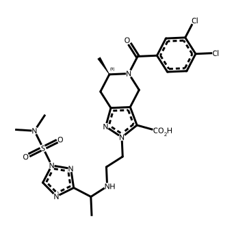 CC(NCCn1nc2c(c1C(=O)O)CN(C(=O)c1ccc(Cl)c(Cl)c1)[C@H](C)C2)c1ncn(S(=O)(=O)N(C)C)n1